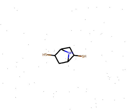 SC1CC2NC1CC2S